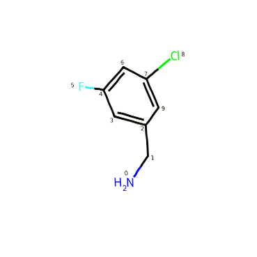 NCc1cc(F)cc(Cl)c1